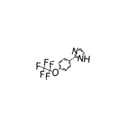 FC(F)(F)C(F)(F)Oc1ccc(-c2ncc[nH]2)cc1